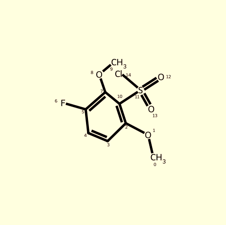 COc1ccc(F)c(OC)c1S(=O)(=O)Cl